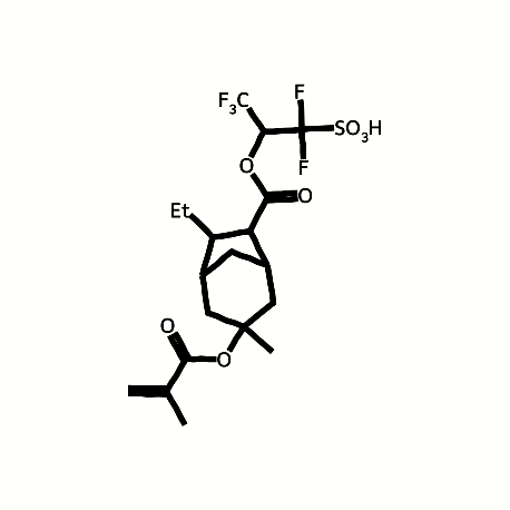 C=C(C)C(=O)OC1(C)CC2CC(C1)C(C(=O)OC(C(F)(F)F)C(F)(F)S(=O)(=O)O)C2CC